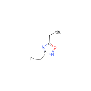 CC(C)Cc1noc(CC(C)(C)C)n1